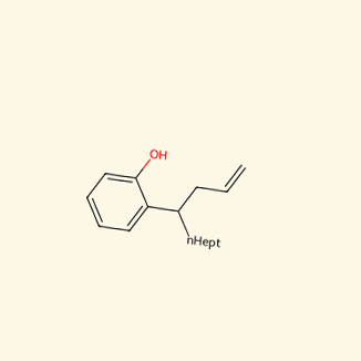 C=CCC(CCCCCCC)c1ccccc1O